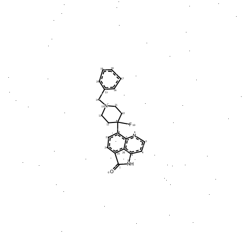 O=C1Nc2ccnc3c(C4(F)CCN(Cc5ccccc5)CC4)ccc1c23